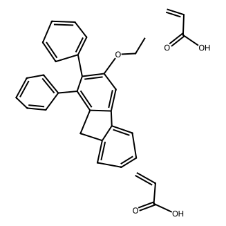 C=CC(=O)O.C=CC(=O)O.CCOc1cc2c(c(-c3ccccc3)c1-c1ccccc1)Cc1ccccc1-2